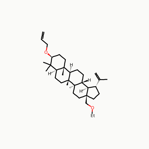 C=CCO[C@H]1CC[C@]2(C)[C@H]3CC[C@@H]4[C@H]5[C@H](C(=C)C)CC[C@]5(COCC)CC[C@@]4(C)[C@]3(C)CC[C@H]2C1(C)C